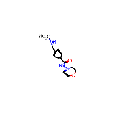 O=C(O)NCc1ccc(C(=O)NN2CCOCC2)cc1